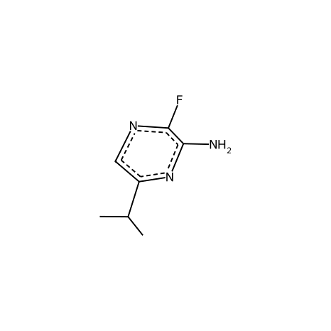 CC(C)c1cnc(F)c(N)n1